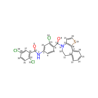 O=C(Nc1ccc(C(=O)N2CCc3ccccc3-c3sccc32)c(Cl)c1)c1cc(Cl)ccc1Cl